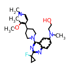 C=N/C=C\C(=C(/C)OC)C1CCN(c2nc(C3(F)CC3)nc3ccc(N(C)CCO)cc23)CC1